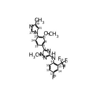 COc1cc(-c2nc(Nc3ccc(F)cc3C(F)(F)F)nn2C)ccc1-n1cnc(C)c1